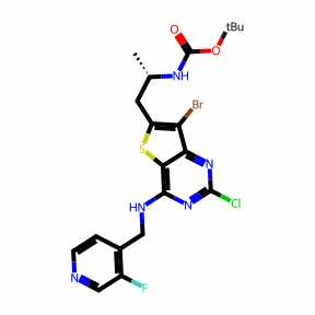 C[C@@H](Cc1sc2c(NCc3ccncc3F)nc(Cl)nc2c1Br)NC(=O)OC(C)(C)C